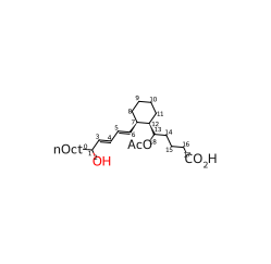 CCCCCCCCC(O)C=CC=C[C@H]1CCCC[C@H]1C(CCCC(=O)O)OC(C)=O